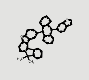 CC1(C)c2ccccc2-c2c1ccc1oc3ccc(-c4c5ccccc5c(-c5ccc6ccoc6c5)c5ccccc45)cc3c21